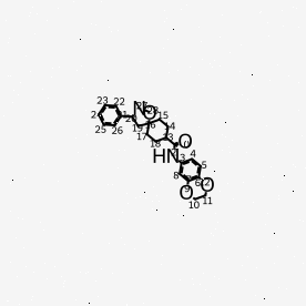 O=C(Nc1ccc2c(c1)OCCO2)C1CCC2(CC1)CC(c1ccccc1)=NO2